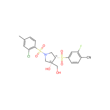 Cc1ccc(S(=O)(=O)N2C[C@H](S(=O)(=O)c3ccc(C#N)c(F)c3)[C@@](O)(CO)C2)c(Cl)c1